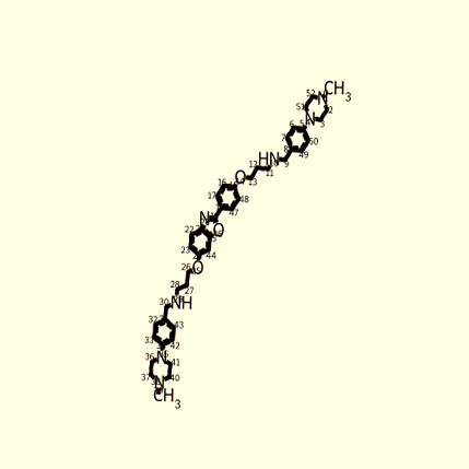 CN1CCN(c2ccc(CNCCCOc3ccc(-c4nc5ccc(OCCCNCc6ccc(N7CCN(C)CC7)cc6)cc5o4)cc3)cc2)CC1